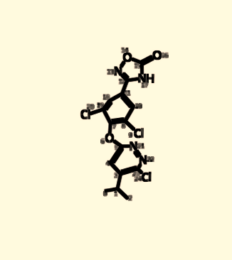 CC(C)c1cc(Oc2c(Cl)cc(-c3noc(=O)[nH]3)cc2Cl)nnc1Cl